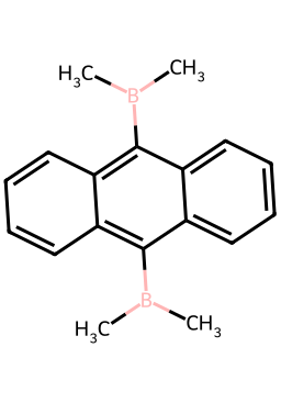 CB(C)c1c2ccccc2c(B(C)C)c2ccccc12